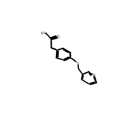 CCC(=O)Cc1ccc(OCc2cccnc2)cc1